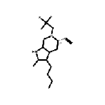 C=C[C@@H]1CC2C(CN1CC(C)(C)F)NC(C)C2CCCC